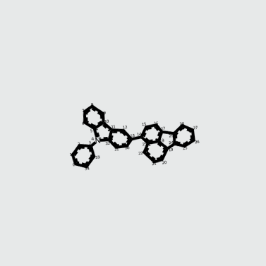 c1ccc(-n2c3ccccc3c3cc(-c4ccc5c6c(cccc46)-c4ccccc4-5)ccc32)cc1